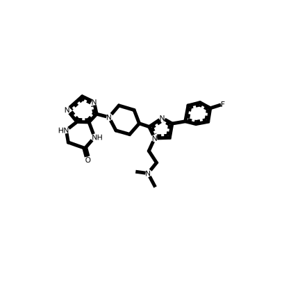 CN(C)CCn1cc(-c2ccc(F)cc2)nc1C1CCN(c2ncnc3c2NC(=O)CN3)CC1